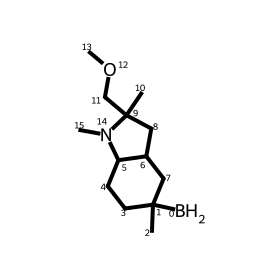 BC1(C)CCC2C(C1)CC(C)(COC)N2C